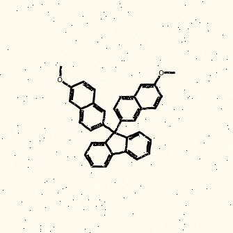 COc1ccc2cc(C3(c4ccc5cc(OC)ccc5c4)c4ccccc4-c4ccccc43)ccc2c1